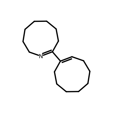 C1=C(/C2=N/CCCCCCC2)CCCCCCC/1